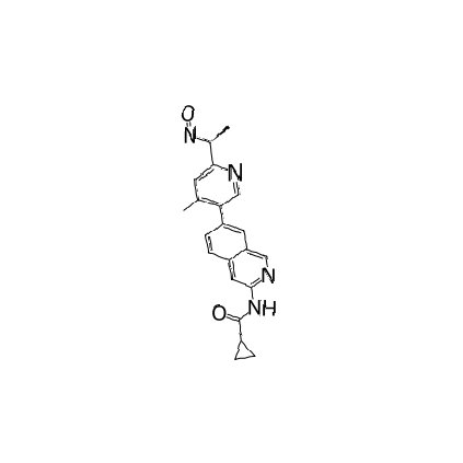 Cc1cc([C@H](C)N=O)ncc1-c1ccc2cc(NC(=O)C3CC3)ncc2c1